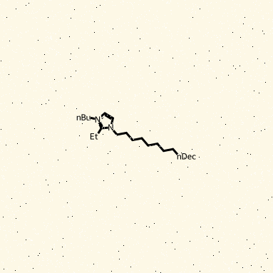 CCCCCCCCCCCCCCCCCCn1cc[n+](CCCC)c1CC